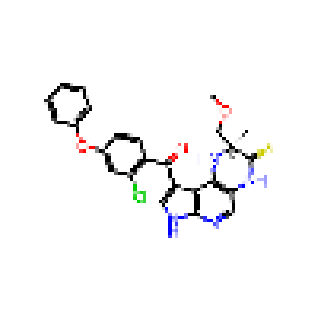 COC[C@]1(C)Nc2c(cnc3[nH]cc(C(=O)c4ccc(Oc5ccccc5)cc4Cl)c23)NC1=S